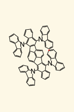 c1ccc2c(-n3c4ccccc4c4ccccc43)c3c(c(-n4c5ccccc5c5ccccc54)c2c1)-c1ccc2c4c(ccc-3c14)-c1c-2c(-n2c3ccccc3c3ccccc32)c2ccccc2c1-n1c2ccccc2c2ccccc21